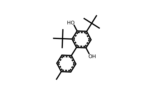 Cc1ccc(-c2c(O)cc(C(C)(C)C)c(O)c2C(C)(C)C)cc1